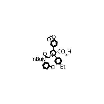 CCCCN(C(=O)CN1C[C@H](c2ccc3c(c2)OCO3)[C@H](C(=O)O)[C@H]1c1ccc(CC)cc1)c1cccc(Cl)c1